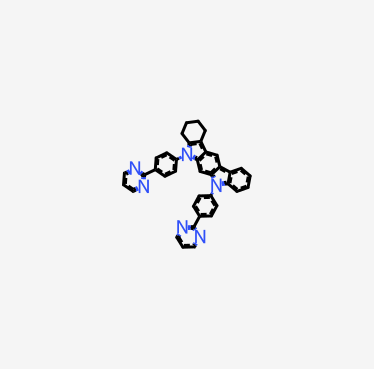 c1cnc(-c2ccc(-n3c4c(c5cc6c7ccccc7n(-c7ccc(-c8ncccn8)cc7)c6cc53)CCCC4)cc2)nc1